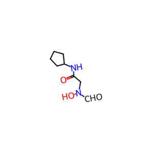 O=CN(O)CC(=O)NC1CCCC1